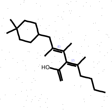 C=C(O)C(=C(/C)CCCC)/C(C)=C(\C)CC1CCC(C)(C)CC1